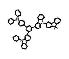 CC1(C)c2ccccc2-c2cc(-n3c4ccccc4c4cc(-c5cc(-c6ccc(N(c7ccccc7)c7ccccc7)cc6)cc(-c6ccc7c8ccccc8n(-c8ccccc8)c7c6)c5)ccc43)ccc21